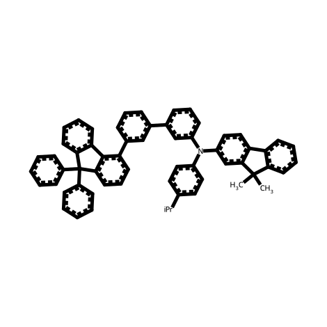 CC(C)c1ccc(N(c2cccc(-c3cccc(-c4cccc5c4-c4ccccc4C5(c4ccccc4)c4ccccc4)c3)c2)c2ccc3c(c2)C(C)(C)c2ccccc2-3)cc1